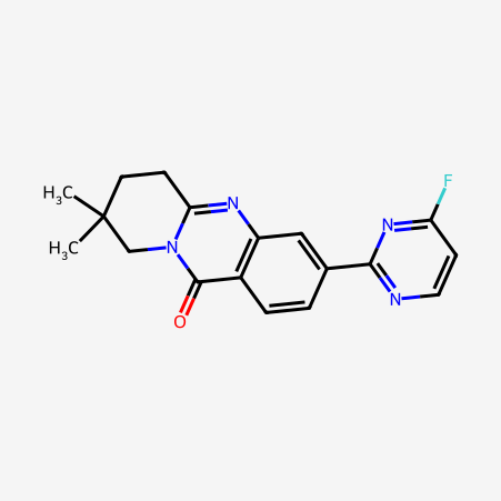 CC1(C)CCc2nc3cc(-c4nccc(F)n4)ccc3c(=O)n2C1